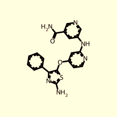 NC(=O)c1cncc(Nc2cc(Oc3sc(N)nc3-c3ccccc3)ccn2)c1